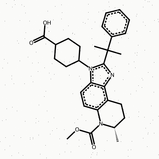 COC(=O)N1c2ccc3c(nc(C(C)(C)c4ccccc4)n3C3CCC(C(=O)O)CC3)c2CC[C@@H]1C